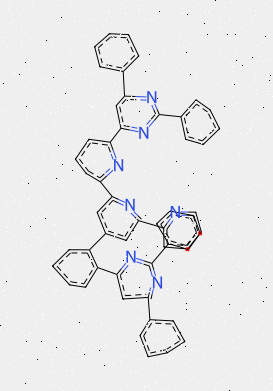 c1ccc(-c2cc(-c3cccc(-c4cc(-c5ccccc5-c5cc(-c6ccccc6)nc(-c6ccccc6)n5)cc(-c5ccccn5)n4)n3)nc(-c3ccccc3)n2)cc1